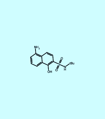 CC(C)(C)NS(=O)(=O)c1ccc2c(N)cccc2c1O